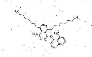 CCCCCCCCc1ccc(CCCCCCCC)c(C(=O)Oc2cccc3cccc(O)c23)c1C(=O)O